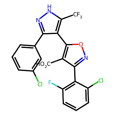 O=C(O)c1c(-c2c(F)cccc2Cl)noc1-c1c(-c2cccc(Cl)c2)n[nH]c1C(F)(F)F